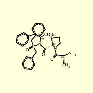 CCOC(=O)[C@H](Cc1ccccc1)N(C(=O)[C@@H]1CCCN1C(=O)[C@H](C)N)P(=O)(Cc1ccccc1)Cc1ccccc1